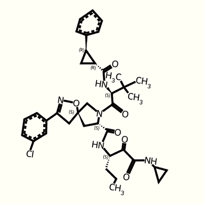 CCC[C@H](NC(=O)[C@@H]1C[C@]2(CC(c3cccc(Cl)c3)=NO2)CN1C(=O)[C@@H](NC(=O)[C@@H]1C[C@H]1c1ccccc1)C(C)(C)C)C(=O)C(=O)NC1CC1